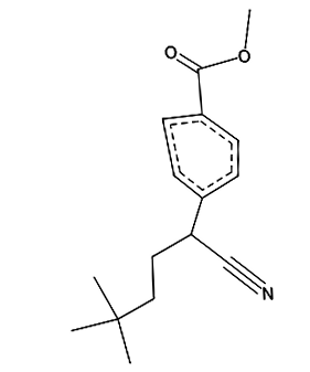 COC(=O)c1ccc(C(C#N)CCC(C)(C)C)cc1